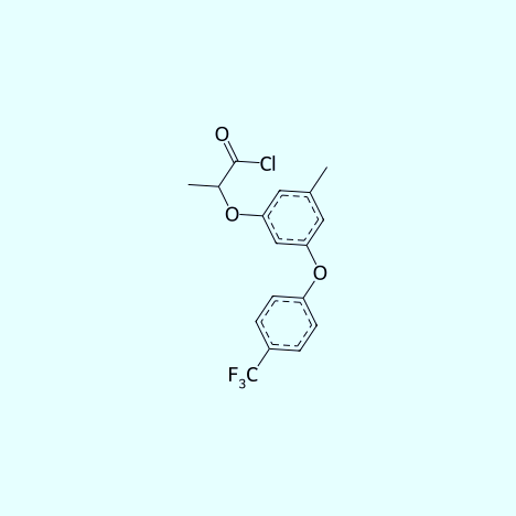 Cc1cc(Oc2ccc(C(F)(F)F)cc2)cc(OC(C)C(=O)Cl)c1